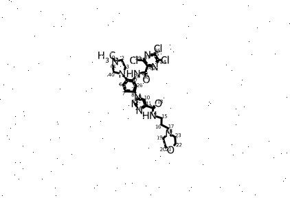 CN1CCN(c2ccc(-n3cc(C(=O)NCCCN4CCOCC4)nn3)cc2NC(=O)c2nc(Cl)c(Cl)nc2Cl)CC1